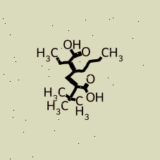 CCCCC(C=C(C(=O)O)C(C)(C)C)=C(CC)C(=O)O